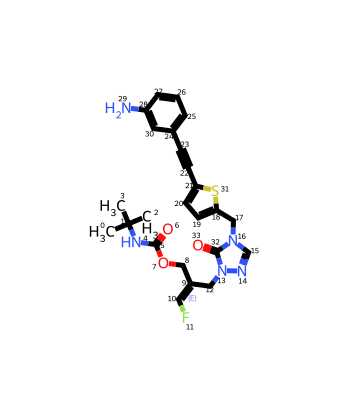 CC(C)(C)NC(=O)OC/C(=C/F)Cn1ncn(Cc2ccc(C#Cc3cccc(N)c3)s2)c1=O